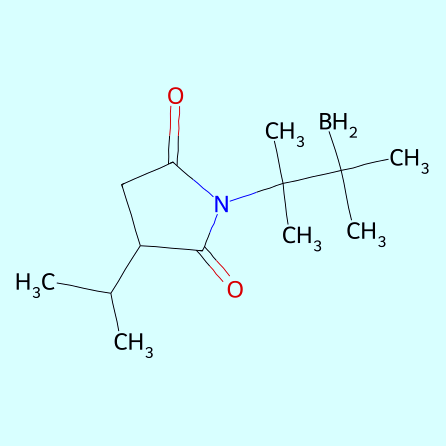 BC(C)(C)C(C)(C)N1C(=O)CC(C(C)C)C1=O